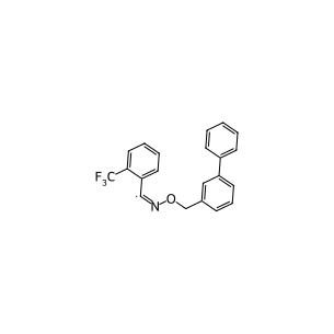 FC(F)(F)c1ccccc1/[C]=N\OCc1cccc(-c2ccccc2)c1